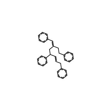 C(=CC(CC(=Cc1ccccc1)CCc1ccccc1)c1ccccc1)Cc1ccccc1